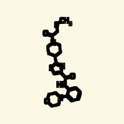 CSCC(=O)N1CCC(c2nc(C(=O)Nc3ccccc3N3CCOCC3)cs2)CC1